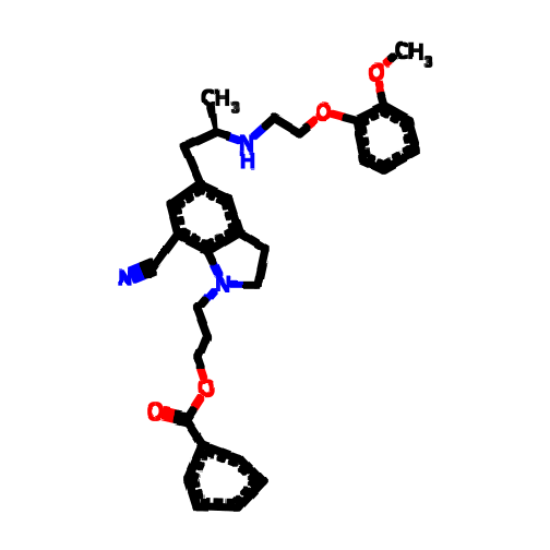 COc1ccccc1OCCN[C@H](C)Cc1cc(C#N)c2c(c1)CCN2CCCOC(=O)c1ccccc1